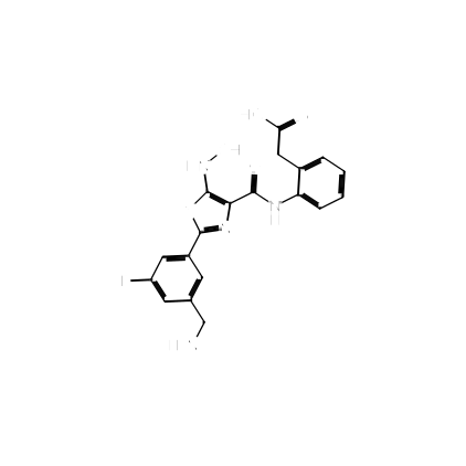 CNc1sc(-c2cc(F)cc(CN)c2)nc1C(=O)Nc1ccccc1CC(=O)O